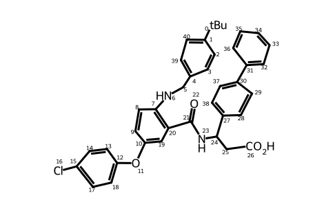 CC(C)(C)c1ccc(CNc2ccc(Oc3ccc(Cl)cc3)cc2C(=O)NC(CC(=O)O)c2ccc(-c3ccccc3)cc2)cc1